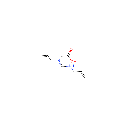 C=CCN=CNCC=C.CC(=O)O